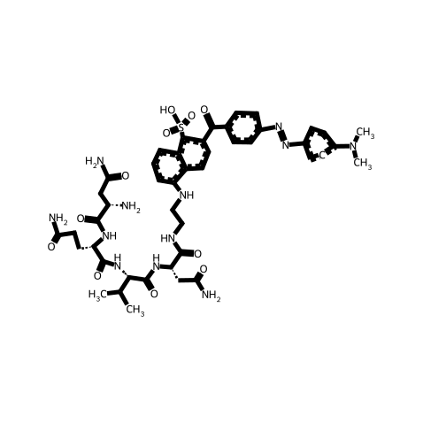 CC(C)[C@H](NC(=O)[C@H](CCC(N)=O)NC(=O)[C@@H](N)CC(N)=O)C(=O)N[C@@H](CC(N)=O)C(=O)NCCNc1cccc2c(S(=O)(=O)O)c(C(=O)c3ccc(N=Nc4ccc(N(C)C)cc4)cc3)ccc12